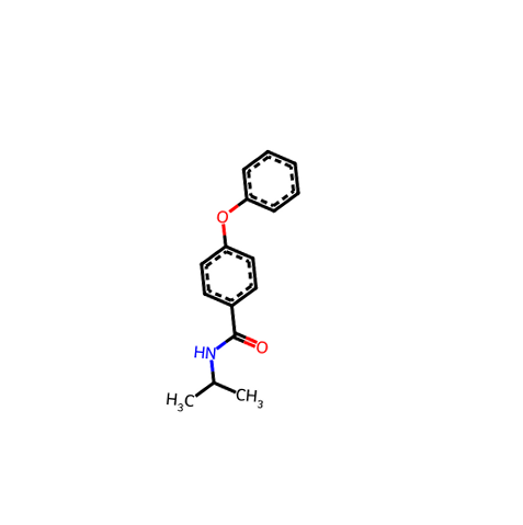 CC(C)NC(=O)c1ccc(Oc2ccccc2)cc1